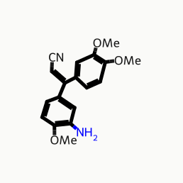 COc1ccc(/C(=C/C#N)c2ccc(OC)c(OC)c2)cc1N